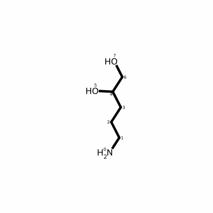 NCCCC(O)CO